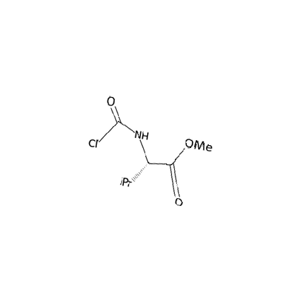 COC(=O)[C@@H](NC(=O)Cl)C(C)C